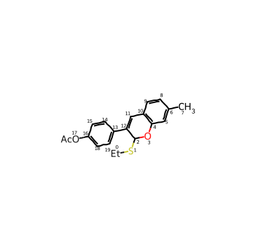 CCSC1Oc2cc(C)ccc2C=C1c1ccc(OC(C)=O)cc1